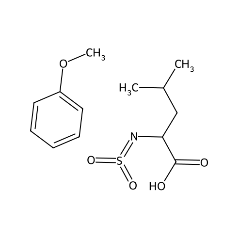 CC(C)CC(N=S(=O)=O)C(=O)O.COc1ccccc1